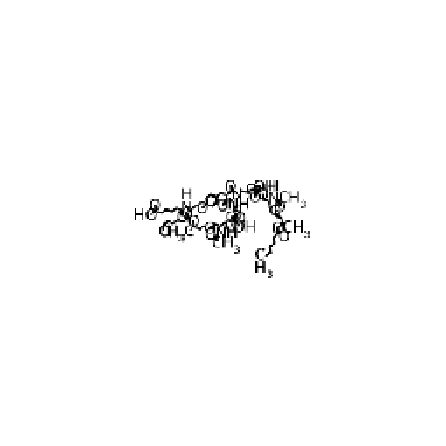 C/C=C\CCCC(=O)O[C@H](C)CCOCC(COP(=O)(O)OCCNC(=O)C(Cc1ccc(OCCNC(=O)CCCCC(=O)O)cc1)C(=O)NCCOP(=O)(O)OCC(COCC[C@@H](C)OC(=O)CCC/C=C\C)NC(C)=O)NC(C)=O